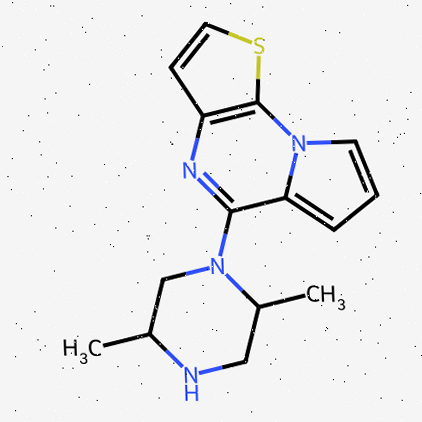 CC1CN(c2nc3ccsc3n3cccc23)C(C)CN1